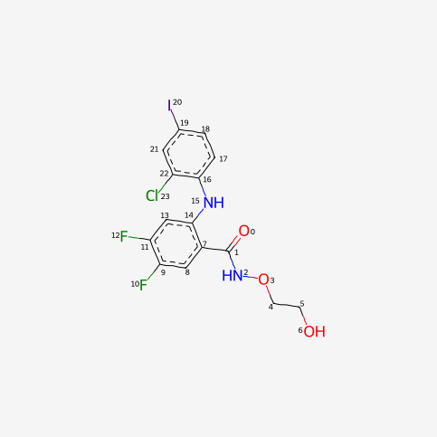 O=C(NOCCO)c1cc(F)c(F)cc1Nc1ccc(I)cc1Cl